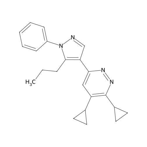 CCCc1c(-c2cc(C3CC3)c(C3CC3)nn2)cnn1-c1ccccc1